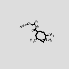 COCC(NC(=O)C1CCC(C)[C@]2(C)CC2C(C)C1)C(C)C